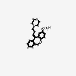 O=C(O)c1ccc2c(c1)C(=CCCN1CCSCC1)c1ccccc1CO2